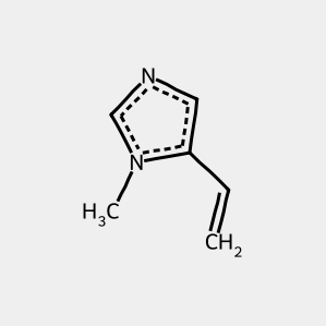 C=Cc1cncn1C